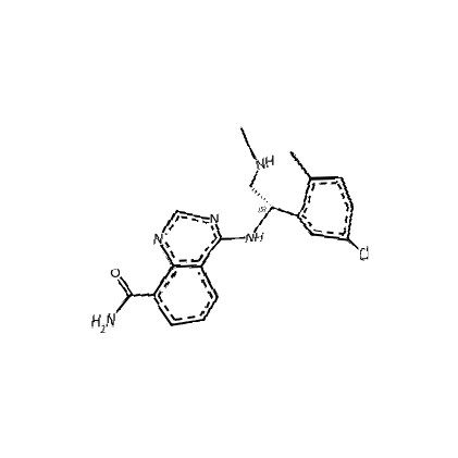 CNC[C@@H](Nc1ncnc2c(C(N)=O)cccc12)c1cc(Cl)ccc1C